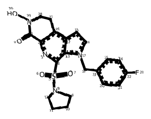 O=C1c2nc(S(=O)(=O)N3CCCC3)c3c(ccn3Cc3ccc(F)cc3)c2CCN1O